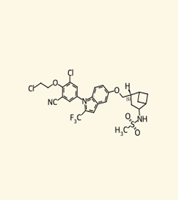 CS(=O)(=O)NC1C[C@H](COc2ccc3c(c2)cc(C(F)(F)F)n3-c2cc(Cl)c(OCCCl)c(C#N)c2)C2CC1C2